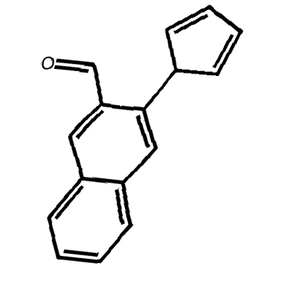 O=Cc1cc2ccccc2cc1C1C=CC=C1